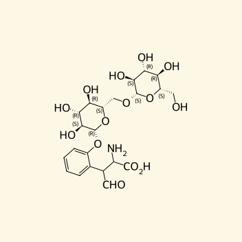 NC(C(=O)O)C(C=O)c1ccccc1O[C@H]1O[C@@H](CO[C@H]2O[C@@H](CO)[C@H](O)[C@@H](O)[C@@H]2O)[C@H](O)[C@@H](O)[C@@H]1O